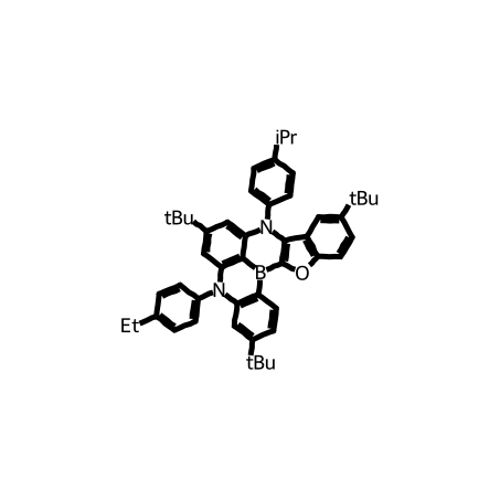 CCc1ccc(N2c3cc(C(C)(C)C)ccc3B3c4oc5ccc(C(C)(C)C)cc5c4N(c4ccc(C(C)C)cc4)c4cc(C(C)(C)C)cc2c43)cc1